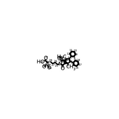 CC12C(=O)C(C)(C(c3ccccc3)=C1c1ccccc1)[C@]1(Br)C(=O)N(CCCC[C@@H](C(=O)O)[N+](=O)[O-])C(=O)C21